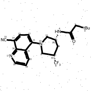 CC(C)(C)CC(=O)N[C@@H]1C[C@H](C(F)(F)F)CN(c2ccc(C#N)c3ncccc23)C1